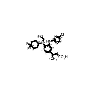 CC(C)CN(c1ncc(C(C)CC(=O)O)cc1Nc1nc(Cl)ns1)C1CCC(F)(F)CC1